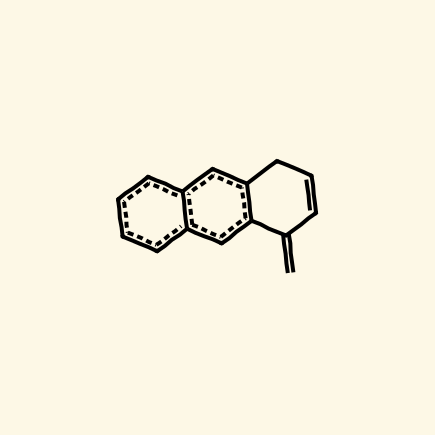 C=C1C=CCc2cc3ccccc3cc21